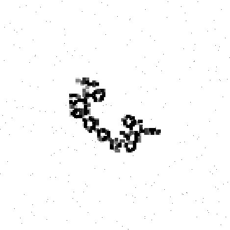 COC(=O)NC(C(=O)N1CCCC1c1ncc(-c2ccc(-c3ncc(-c4cnc([C@@H]5CCCN5C(=O)[C@H](OC(N)=O)c5ccccc5)[nH]4)cn3)cc2)[nH]1)c1ccccc1